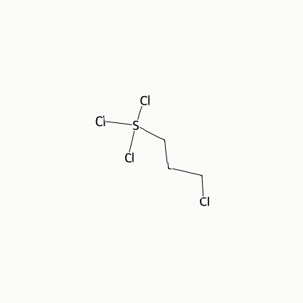 ClCCCS(Cl)(Cl)Cl